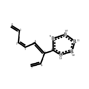 C=C/C=C\C=C(/C=C)c1bbbbb1